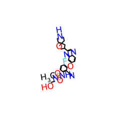 CN(CCO)S(=O)(=O)Nc1ccc(F)c(Oc2ccc3ncc(C4COC5(CCNCC5)C4)nc3c2)c1C#N